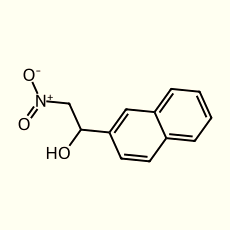 O=[N+]([O-])CC(O)c1ccc2ccccc2c1